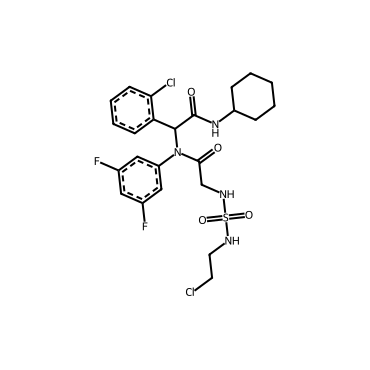 O=C(NC1CCCCC1)C(c1ccccc1Cl)N(C(=O)CNS(=O)(=O)NCCCl)c1cc(F)cc(F)c1